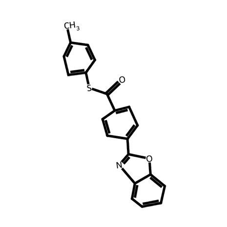 Cc1ccc(SC(=O)c2ccc(-c3nc4ccccc4o3)cc2)cc1